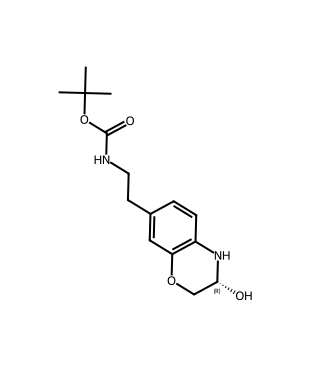 CC(C)(C)OC(=O)NCCc1ccc2c(c1)OC[C@@H](O)N2